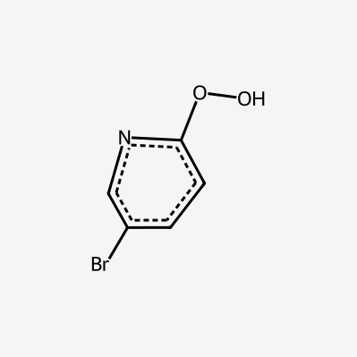 OOc1ccc(Br)cn1